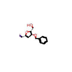 OC[C@H]1O[C@@H](CI)C[C@@H]1OCc1ccccc1